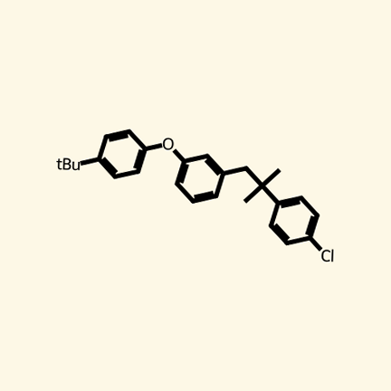 CC(C)(C)c1ccc(Oc2cccc(CC(C)(C)c3ccc(Cl)cc3)c2)cc1